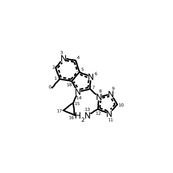 Cc1cncc2nc(-n3ncnc3N)n(C3CC3)c12